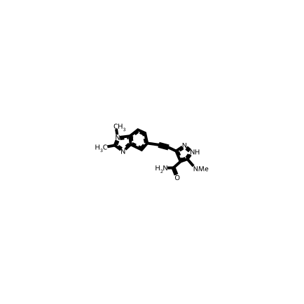 CNc1[nH]nc(C#Cc2ccc3c(c2)nc(C)n3C)c1C(N)=O